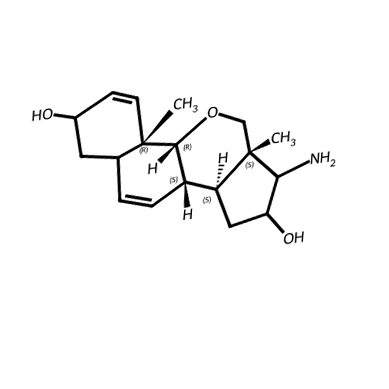 C[C@]12C=CC(O)CC1C=C[C@@H]1[C@H]2OC[C@]2(C)C(N)C(O)C[C@@H]12